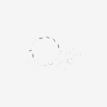 CCC1/C=C/C=C/C=C/C=C/C(OC2OC(C)C(O)C(N)C2O)CC2OC(O)(CC(O)CC(O)C(O)/C=C/C(=O)OC1C)CC(O)C2C(=O)O